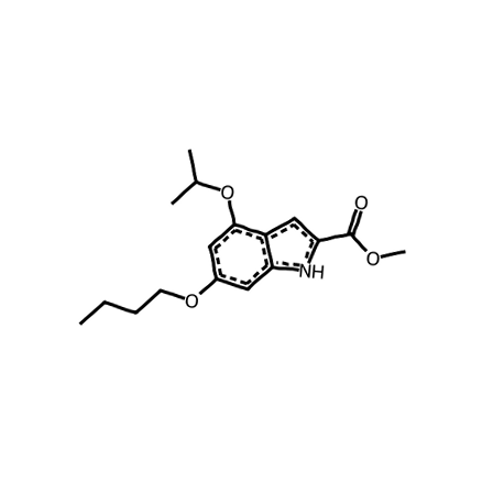 CCCCOc1cc(OC(C)C)c2cc(C(=O)OC)[nH]c2c1